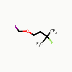 FC(F)(F)C(F)(CCOCI)C(F)(F)F